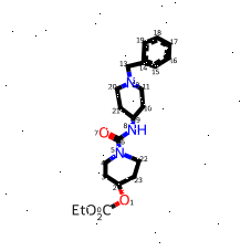 CCOC(=O)OC1CCN(C(=O)NC2CCN(Cc3ccccc3)CC2)CC1